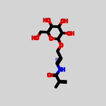 C=C(C)C(=O)N/C=C/COC1OC(CO)C(O)C(O)C1O